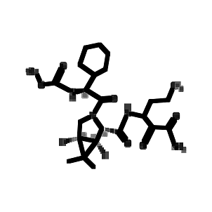 CC(C)(C)OC(=O)N[C@H](C(=O)N1C[C@H]2[C@@H]([C@H]1C(=O)NC(CCC(F)(F)F)C(=O)C(N)=O)C2(C)C)C1CCCCC1